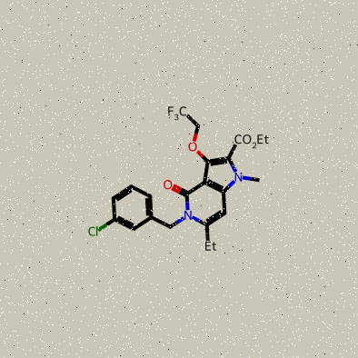 CCOC(=O)c1c(OCC(F)(F)F)c2c(=O)n(Cc3cccc(Cl)c3)c(CC)cc2n1C